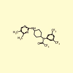 Cc1cnc(NC2CCC(N(C(=O)C(F)(F)F)c3cc(C(F)(F)F)cc(C(F)(F)F)c3)CC2)nc1C